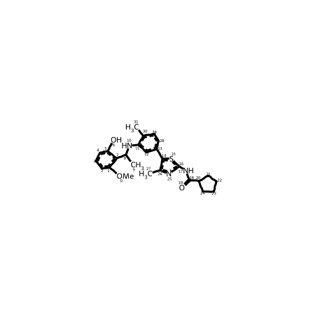 COc1cccc(O)c1C(C)Nc1cc(-c2sc(NC(=O)C3CCCC3)nc2C)ccc1C